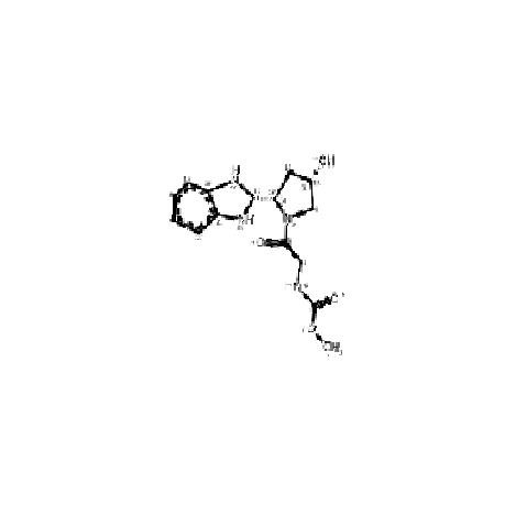 COC(=O)NCC(=O)N1C[C@@H](O)C[C@H]1C1Nc2ccccc2N1